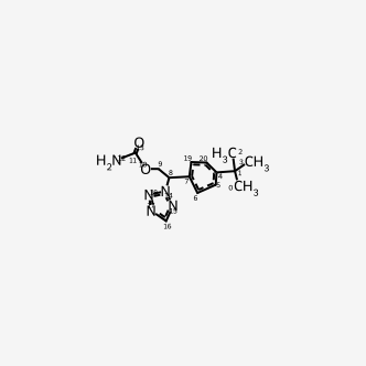 CC(C)(C)c1ccc(C(COC(N)=O)n2ncnn2)cc1